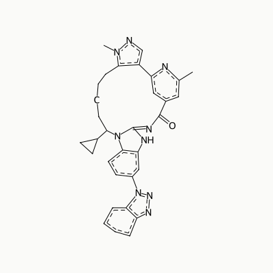 Cc1cc2cc(n1)-c1cnn(C)c1CCCCC(C1CC1)N1/C(=N/C2=O)Nc2cc(-n3nnc4ccccc43)ccc21